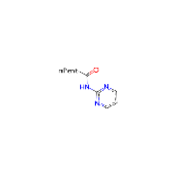 CCCCCC(=O)Nc1ncccn1